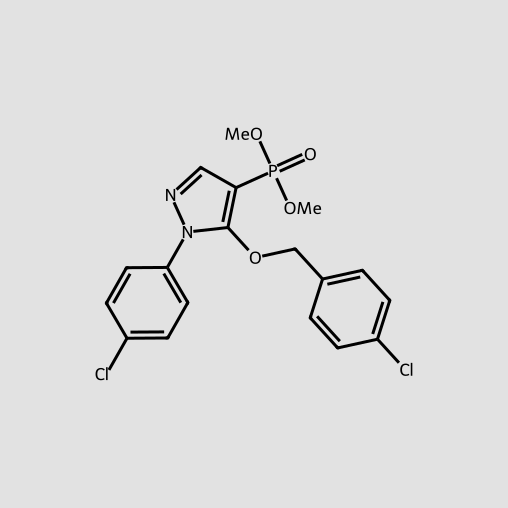 COP(=O)(OC)c1cnn(-c2ccc(Cl)cc2)c1OCc1ccc(Cl)cc1